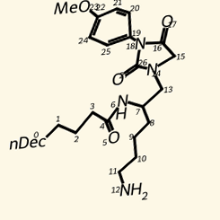 CCCCCCCCCCCCCC(=O)NC(CCCCN)CN1CC(=O)N(c2ccc(OC)cc2)C1=O